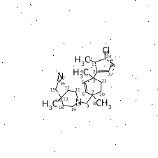 CC1C(C2(C)C=CC(C)(CN3CCC(C)(CC#N)CC3)CC2)=CSC1Cl